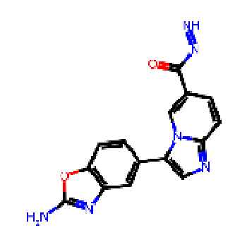 N=NC(=O)c1ccc2ncc(-c3ccc4oc(N)nc4c3)n2c1